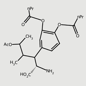 CCCC(=O)Oc1ccc(C(C(C)C(C)OC(C)=O)[C@H](N)C(=O)O)cc1OC(=O)CCC